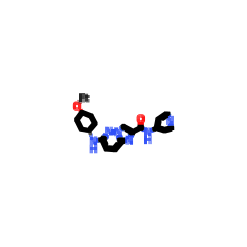 CCO[C@H]1CC[C@H](Nc2ccc3nc(C(=O)Nc4ccncc4)cn3n2)CC1